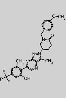 COc1ccc(CN2C[C@@H](n3nc4nc(-c5c(C)cc(C(F)(F)F)cc5O)cnc4c3C)CCC2=O)cc1